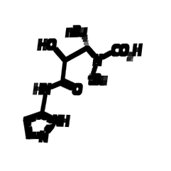 CCCC[C@@H](C(O)C(=O)Nc1ccn[nH]1)N(C(=O)O)C(C)(C)C